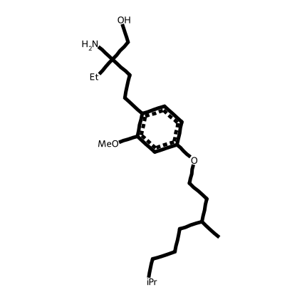 CCC(N)(CO)CCc1ccc(OCCC(C)CCCC(C)C)cc1OC